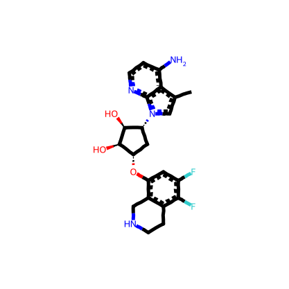 Cc1cn([C@@H]2C[C@H](Oc3cc(F)c(F)c4c3CNCC4)[C@@H](O)[C@H]2O)c2nccc(N)c12